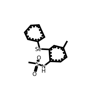 Cc1ccc(NS(C)(=O)=O)c([Se]c2ccccc2)c1